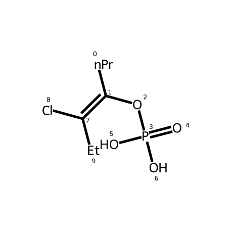 CCCC(OP(=O)(O)O)=C(Cl)CC